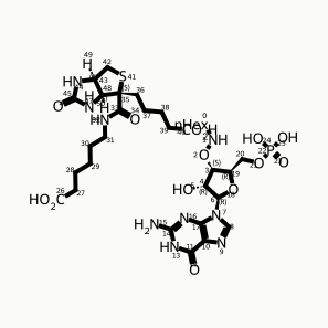 CCCCCCNO[C@H]1[C@@H](O)[C@H](n2cnc3c(=O)[nH]c(N)nc32)O[C@@H]1COP(=O)(O)O.O=C(O)CCCCCNC(=O)[C@@]1(CCCCC(=O)O)SC[C@@H]2NC(=O)N[C@@H]21